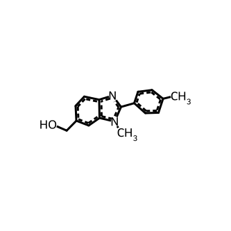 Cc1ccc(-c2nc3ccc(CO)cc3n2C)cc1